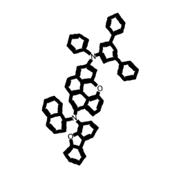 c1ccc(-c2cc(-c3ccccc3)cc(N(c3ccccc3)c3cc4c5c(ccc6cc(N(c7cccc8ccccc78)c7cccc8c7oc7ccccc78)c7cccc(c7c65)O4)c3)c2)cc1